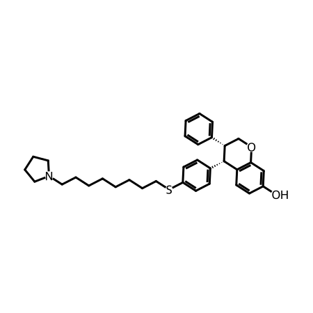 Oc1ccc2c(c1)OC[C@@H](c1ccccc1)[C@H]2c1ccc(SCCCCCCCCN2CCCC2)cc1